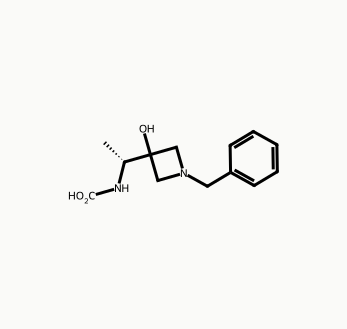 C[C@@H](NC(=O)O)C1(O)CN(Cc2ccccc2)C1